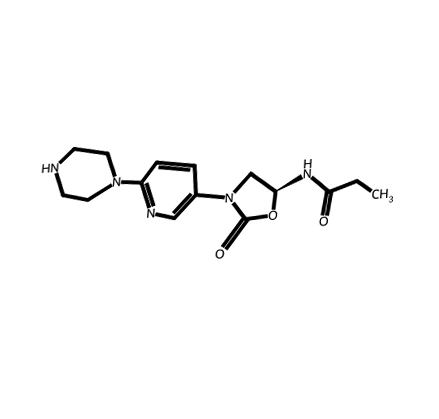 CCC(=O)N[C@@H]1CN(c2ccc(N3CCNCC3)nc2)C(=O)O1